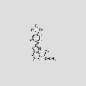 COC(=O)c1cccc2cn(-c3ccc(C(F)(F)F)cc3)nc12